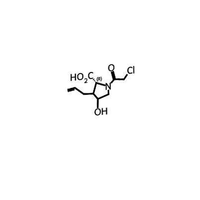 C=CCC1C(O)CN(C(=O)CCl)[C@H]1C(=O)O